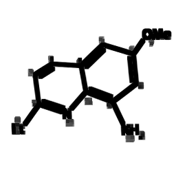 CCc1ccc2cc(OC)cc(N)c2n1